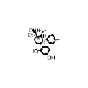 CC[C@@]12CC[C@@H](c3ccc(O)cc3O)[C@H](c3ccc(C)cc3)[C@@H]1[C@@H](C)NC2=O